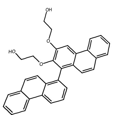 OCCOc1cc2c(ccc3ccccc32)c(-c2cccc3c2ccc2ccccc23)c1OCCO